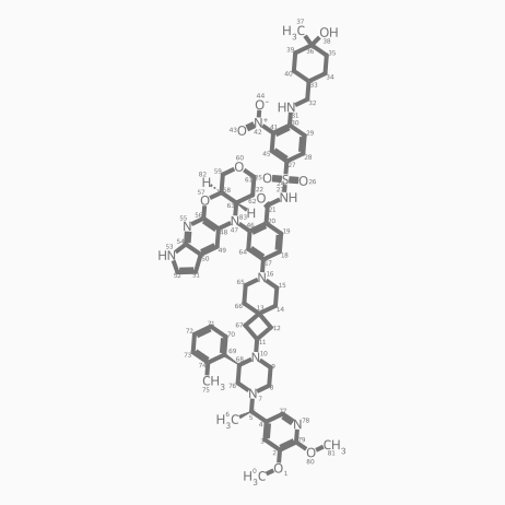 COc1cc([C@@H](C)N2CCN(C3CC4(CCN(c5ccc(C(=O)NS(=O)(=O)c6ccc(NCC7CCC(C)(O)CC7)c([N+](=O)[O-])c6)c(N6c7cc8cc[nH]c8nc7O[C@H]7COCC[C@@H]76)c5)CC4)C3)[C@H](c3ccccc3C)C2)cnc1OC